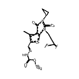 Cc1c(C=NNC(=O)OC(C)(C)C)sc2c1c(=O)n(C1CC1)c(=O)n2CC(F)F